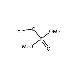 CCOP(=O)(OC)OC